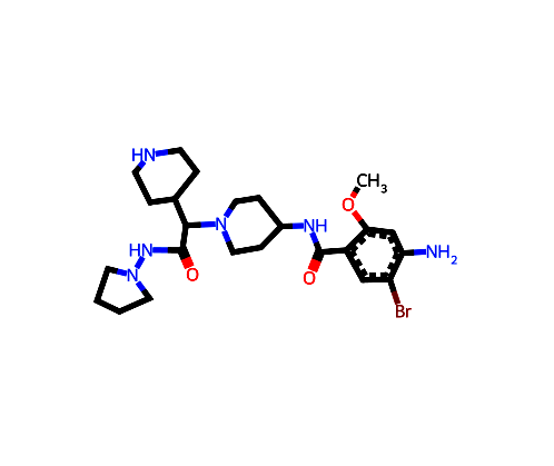 COc1cc(N)c(Br)cc1C(=O)NC1CCN(C(C(=O)NN2CCCC2)C2CCNCC2)CC1